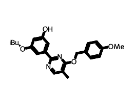 CC[C@H](C)Oc1cc(O)cc(-c2ncc(C)c(OCc3ccc(OC)cc3)n2)c1